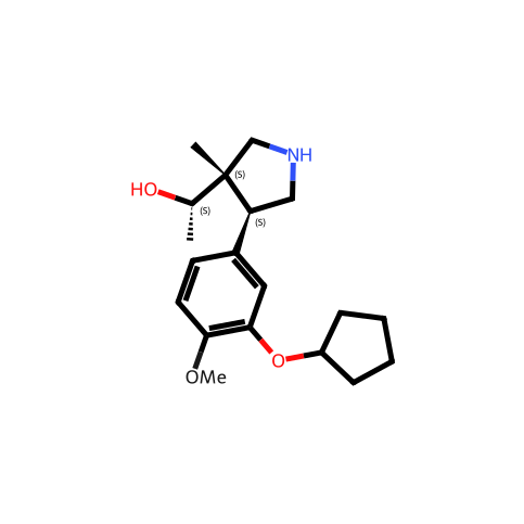 COc1ccc([C@@H]2CNC[C@@]2(C)[C@H](C)O)cc1OC1CCCC1